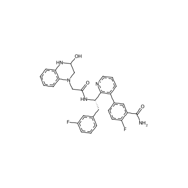 NC(=O)c1cc(-c2cccnc2[C@H](Cc2cccc(F)c2)NC(=O)CN2CC(O)Nc3ccccc32)ccc1F